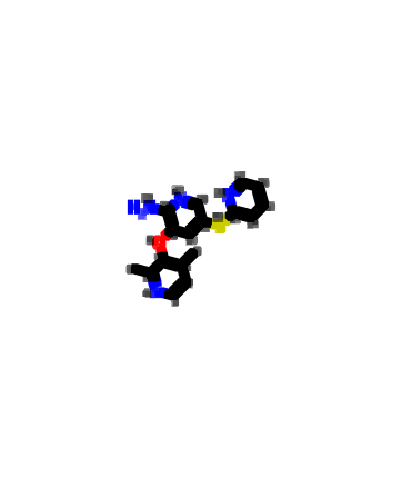 Cc1ccnc(C)c1Oc1cc(Sc2ccccn2)cnc1N